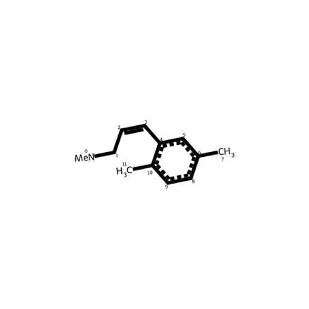 CNC/C=C\c1cc(C)ccc1C